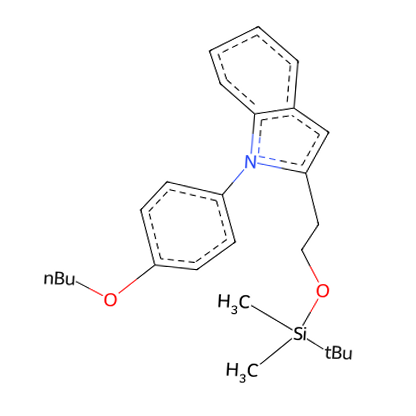 CCCCOc1ccc(-n2c(CCO[Si](C)(C)C(C)(C)C)cc3ccccc32)cc1